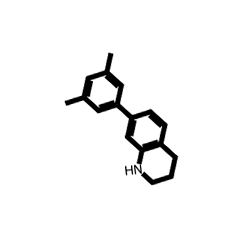 Cc1cc(C)cc(-c2ccc3c(c2)NCCC3)c1